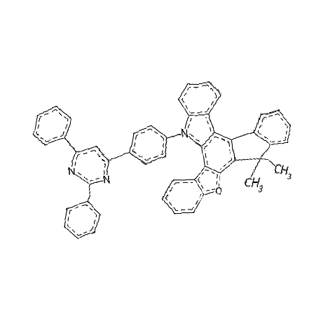 CC1(C)c2ccccc2-c2c1c1oc3ccccc3c1c1c2c2ccccc2n1-c1ccc(-c2cc(-c3ccccc3)nc(-c3ccccc3)n2)cc1